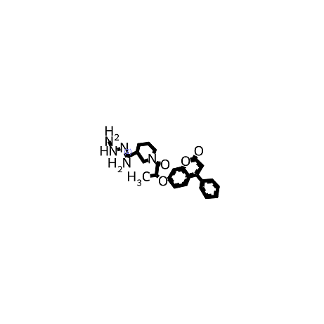 CC(Oc1ccc2c(-c3ccccc3)cc(=O)oc2c1)C(=O)N1CCCC(/C(N)=N/NN)C1